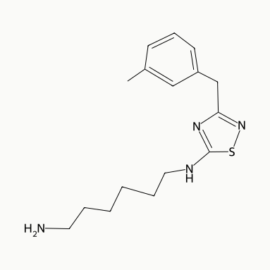 Cc1cccc(Cc2nsc(NCCCCCCN)n2)c1